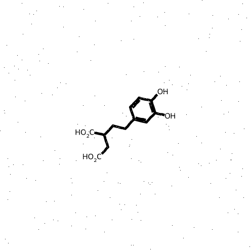 O=C(O)CC(CCc1ccc(O)c(O)c1)C(=O)O